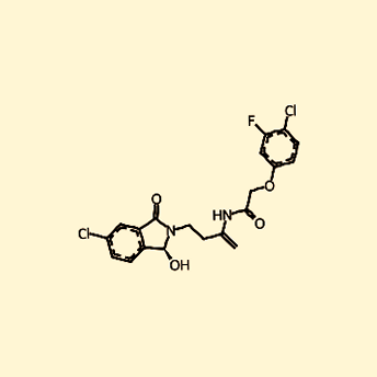 C=C(CCN1C(=O)c2cc(Cl)ccc2[C@@H]1O)NC(=O)COc1ccc(Cl)c(F)c1